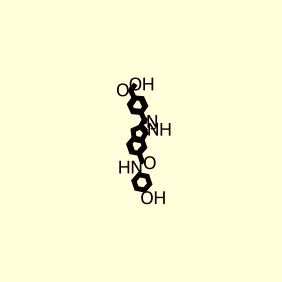 O=C(O)c1ccc(-c2n[nH]c3c2Cc2ccc(C(=O)N[C@H]4CC[C@H](O)CC4)cc2-3)cc1